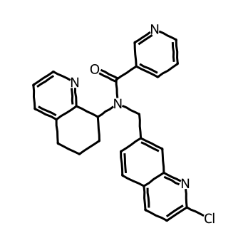 O=C(c1cccnc1)N(Cc1ccc2ccc(Cl)nc2c1)C1CCCc2cccnc21